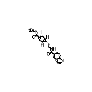 CC(C)(C)NC(=O)N1C[C@@H]2[C@@H](CCNC(=O)c3cnc4nccn4c3)[C@@H]2C1